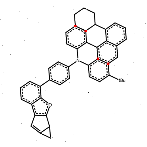 CC(C)(C)c1ccc(N(c2ccc(-c3cccc4c5c(oc34)C3CC3=C5)cc2)c2ccccc2-c2cccc3cccc(C4CCCCC4)c23)cc1